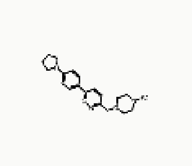 CC(=O)N1CCN(Cc2ccc(-c3ccc(N4CCCC4)cc3)nn2)CC1